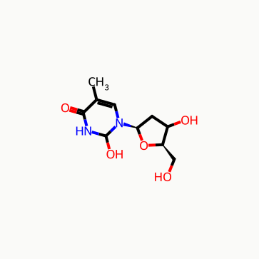 CC1=CN([C@H]2CC(O)[C@@H](CO)O2)C(O)NC1=O